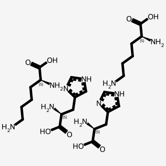 NCCCC[C@H](N)C(=O)O.NCCCC[C@H](N)C(=O)O.N[C@@H](Cc1c[nH]cn1)C(=O)O.N[C@@H](Cc1c[nH]cn1)C(=O)O